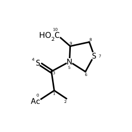 CC(=O)C(C)C(=S)N1CSCC1C(=O)O